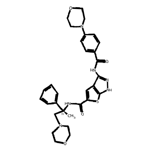 C[C@](CN1CCOCC1)(NC(=O)c1cc2c(NC(=O)c3ccc(N4CCOCC4)cc3)n[nH]c2s1)c1ccccc1